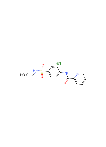 Cl.O=C(O)CNS(=O)(=O)c1ccc(NC(=O)c2ccccn2)cc1